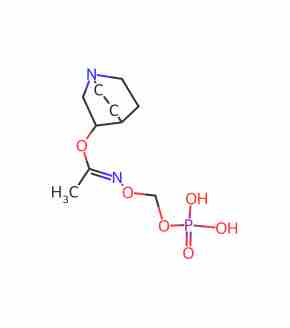 CC(=NOCOP(=O)(O)O)OC1CN2CCC1CC2